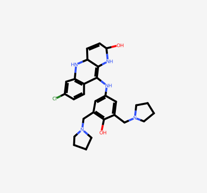 Oc1c(CN2CCCC2)cc(NC2=C3NC(O)C=CC3Nc3cc(Cl)ccc32)cc1CN1CCCC1